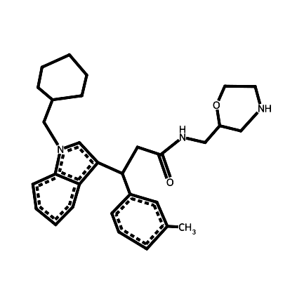 Cc1cccc(C(CC(=O)NCC2CNCCO2)c2cn(CC3CCCCC3)c3ccccc23)c1